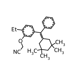 CCc1ccc(C(=C2CC(C)(C)CC(C)(C)C2)c2ccccc2)cc1OCC#N